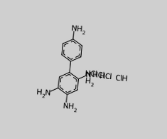 Cl.Cl.Cl.Cl.Nc1ccc(-c2cc(N)c(N)cc2N)cc1